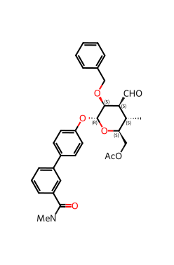 CNC(=O)c1cccc(-c2ccc(O[C@H]3O[C@H](COC(C)=O)[C@@H](C)[C@H](C=O)[C@@H]3OCc3ccccc3)cc2)c1